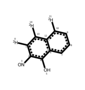 [2H]c1c(N=O)c(O)c2cccc([2H])c2c1[2H]